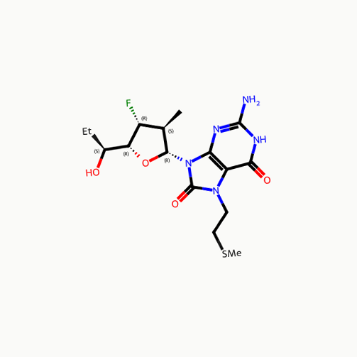 CC[C@H](O)[C@H]1O[C@@H](n2c(=O)n(CCSC)c3c(=O)[nH]c(N)nc32)[C@H](C)[C@H]1F